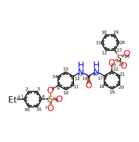 CCc1ccc(S(=O)(=O)Oc2ccc(NC(=O)Nc3ccccc3OS(=O)(=O)c3ccccc3)cc2)cc1